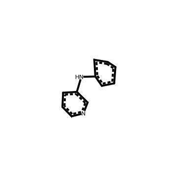 [c]1ccc(Nc2ccccc2)cn1